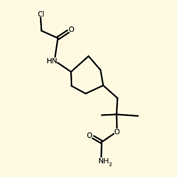 CC(C)(CC1CCC(NC(=O)CCl)CC1)OC(N)=O